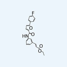 CCOC(=O)C=Cc1cccc(NC(=O)c2ccc(-c3ccc(F)cc3)o2)c1